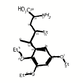 CCOc1cc(OCC)c(OCC)c(C(C)C(CC)CC(N)C(=O)O)c1